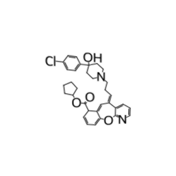 O=C(OC1CCCC1)C1C=CC=C2Oc3ncccc3C(=CCCN3CCC(O)(c4ccc(Cl)cc4)CC3)C=C21